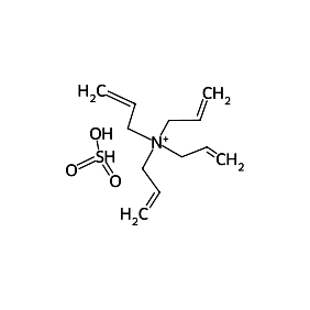 C=CC[N+](CC=C)(CC=C)CC=C.O=[SH](=O)O